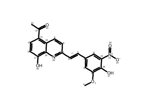 COc1cc(/C=C/c2ccc3c(C(C)=O)ccc(O)c3n2)cc([N+](=O)[O-])c1O